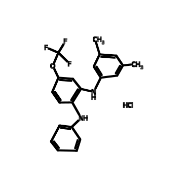 Cc1cc(C)cc(Nc2cc(OC(F)(F)F)ccc2Nc2ccccc2)c1.Cl